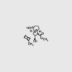 C#CC1C[C@@H]2[C@@H](CCC[C@@H]2O)N1C(=O)OC.Cc1cc2ccc1-2